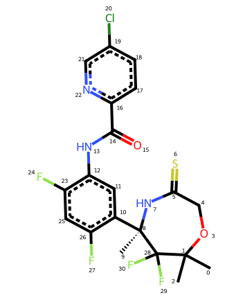 CC1(C)OCC(=S)N[C@](C)(c2cc(NC(=O)c3ccc(Cl)cn3)c(F)cc2F)C1(F)F